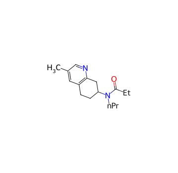 CCCN(C(=O)CC)C1CCc2cc(C)cnc2C1